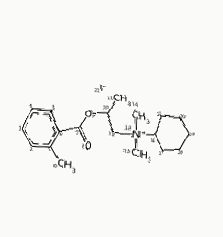 Cc1ccccc1C(=O)OC(C)C[N+](C)(C)C1CCCCC1.[I-]